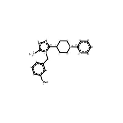 COc1cccc(Cn2c(C)nnc2C2CCN(c3ccccn3)CC2)c1